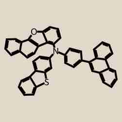 c1ccc2c(c1)cc(-c1ccc(N(c3ccc4c(c3)sc3ccccc34)c3cccc4oc5c6ccccc6ccc5c34)cc1)c1ccccc12